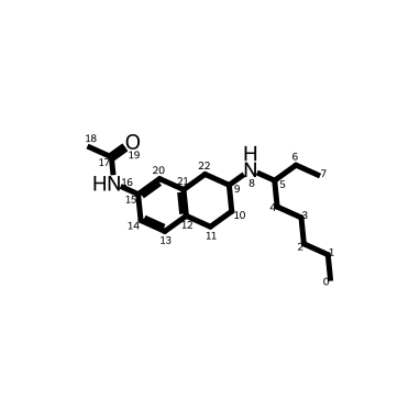 CCCCCC(CC)NC1CCc2ccc(NC(C)=O)cc2C1